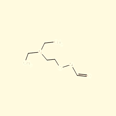 CCN(CC)CCO[N]C=O